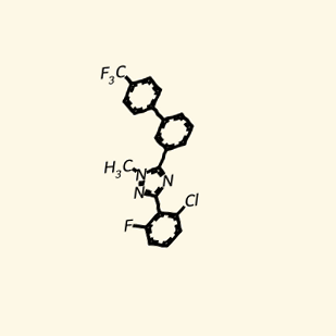 Cn1nc(-c2c(F)cccc2Cl)nc1-c1cccc(-c2ccc(C(F)(F)F)cc2)c1